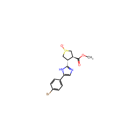 COC(=O)[C@@H]1C[S+]([O-])C[C@H]1c1ncc(-c2ccc(Br)cc2)[nH]1